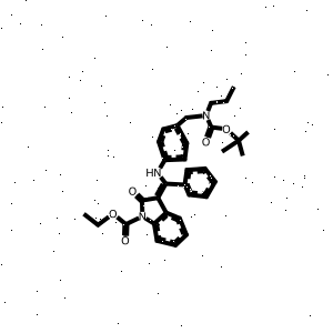 CCCN(Cc1ccc(N/C(=C2\C(=O)N(C(=O)OCC)c3ccccc32)c2ccccc2)cc1)C(=O)OC(C)(C)C